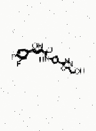 C[C@@H](O)c1nnc(C2CC(NC(=O)c3cc(-c4ccc(F)c(F)c4)on3)C2)o1